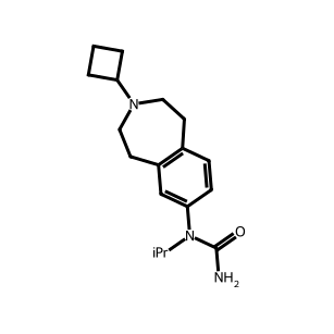 CC(C)N(C(N)=O)c1ccc2c(c1)CCN(C1CCC1)CC2